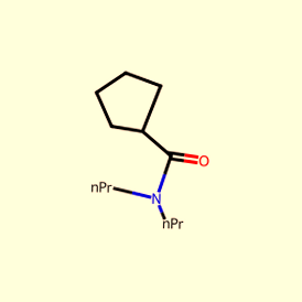 CCCN(CCC)C(=O)C1CCCC1